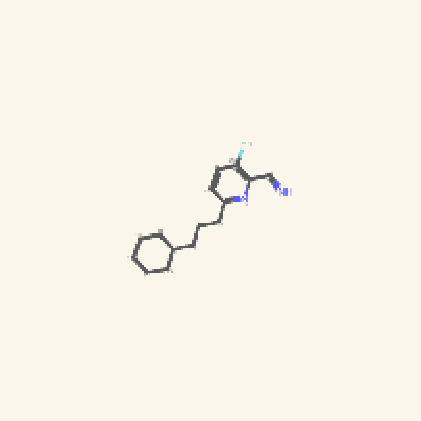 N=Cc1nc(CCCC2CCCCC2)ccc1F